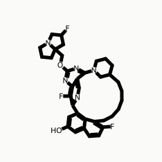 Oc1cc2c3c(c(F)ccc3c1)CCCCCCC1CCCN(C1)c1nc(OCC34CCCN3CC(F)C4)nc3c(F)c-2ncc13